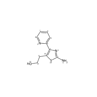 Nc1nc(-c2ccccn2)c(CCO)s1